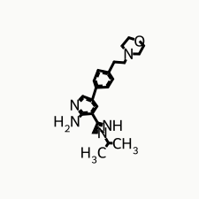 CC(C)n1cc(-c2cc(-c3ccc(CCN4CCOCC4)cc3)cnc2N)[nH]1